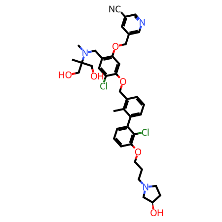 Cc1c(COc2cc(OCc3cncc(C#N)c3)c(CN(C)C(C)(CO)CO)cc2Cl)cccc1-c1cccc(OCCCN2CC[C@@H](O)C2)c1Cl